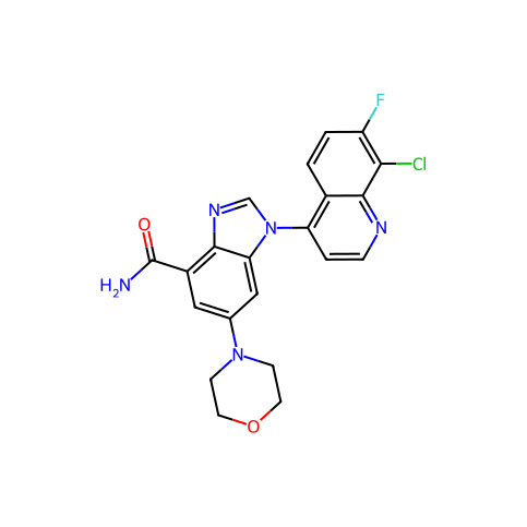 NC(=O)c1cc(N2CCOCC2)cc2c1ncn2-c1ccnc2c(Cl)c(F)ccc12